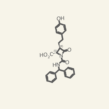 O=C(O)[C@@H]1[C@@H](CCc2ccc(O)cc2)C(=O)N1C(=O)NC(c1ccccc1)c1ccccc1